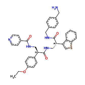 CCOc1ccc([C@@H](CNC(=O)c2ccncc2)C(=O)NC[C@H](C(=O)NCc2ccc(CN)cc2)c2csc3ccccc23)cc1